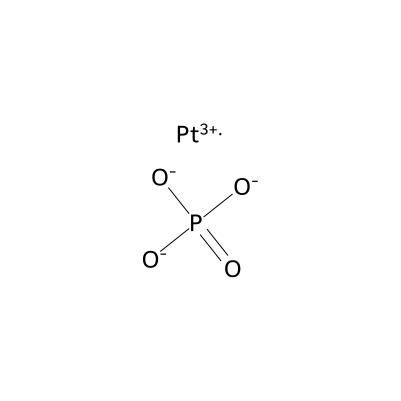 O=P([O-])([O-])[O-].[Pt+3]